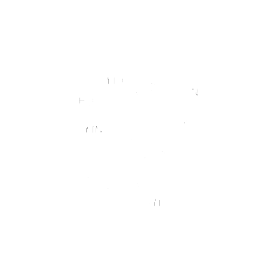 COC(=O)C1=C(C2CC2)NC(C)=C(C(C)=O)C1c1csc2ncccc12